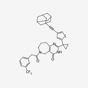 O=C(Cc1cccc(C(F)(F)F)c1)N1CCCc2nc(C3(c4cc(C#CC56CC7CC(CC(C7)C5)C6)cs4)CC3)[nH]c(=O)c2C1